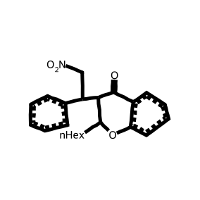 CCCCCCC1Oc2ccccc2C(=O)C1C(C[N+](=O)[O-])c1ccccc1